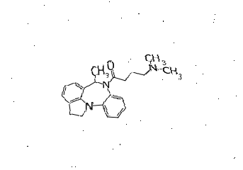 CC1c2cccc3c2N(CC3)c2ccccc2N1C(=O)CCCN(C)C